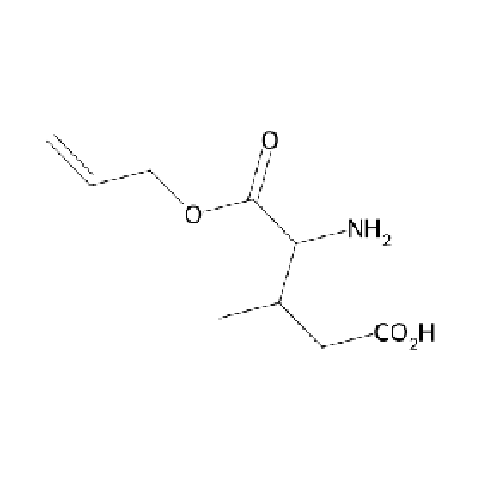 C=CCOC(=O)C(N)C(C)CC(=O)O